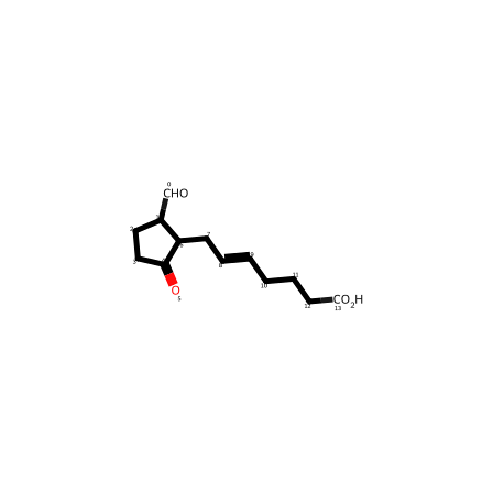 O=CC1CCC(=O)C1CC=CCCCC(=O)O